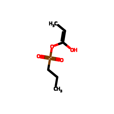 CC=C(O)OS(=O)(=O)CCC